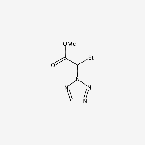 CCC(C(=O)OC)n1ncnn1